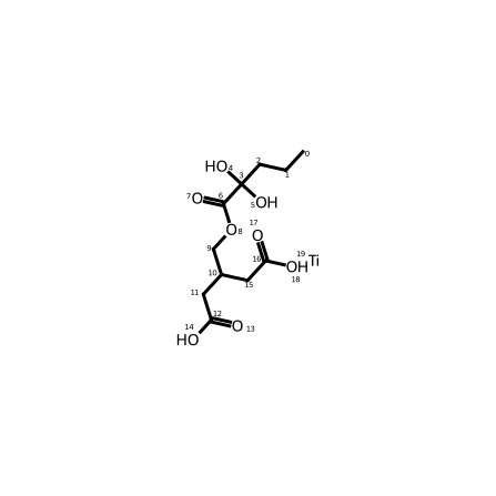 CCCC(O)(O)C(=O)OCC(CC(=O)O)CC(=O)O.[Ti]